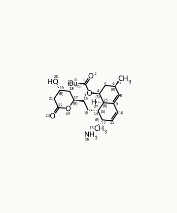 CC[C@H](C)C(=O)O[C@H]1C[C@@H](C)C=C2C=C[C@H](C)[C@H](CC[C@@H]3C[C@@H](O)CC(=O)O3)[C@H]21.N